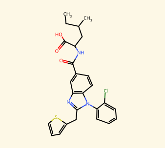 CCC(C)CC(NC(=O)c1ccc2c(c1)nc(Cc1cccs1)n2-c1ccccc1Cl)C(=O)O